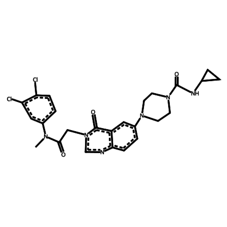 CN(C(=O)Cn1cnc2ccc(N3CCN(C(=O)NC4CC4)CC3)cc2c1=O)c1ccc(Cl)c(Cl)c1